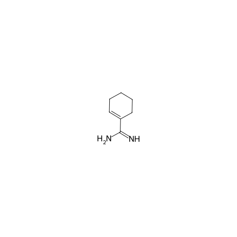 N=C(N)C1=CCCCC1